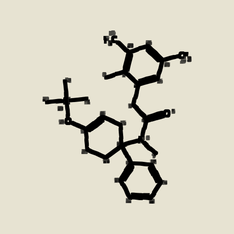 Cc1c(CC(=O)N(C)C2(c3ccccc3)CC=C(O[Si](C)(C)C)CC2)cc(C(F)(F)F)cc1C(F)(F)F